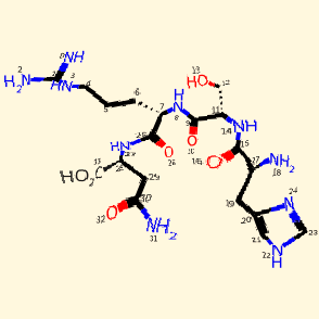 N=C(N)NCCC[C@H](NC(=O)[C@H](CO)NC(=O)[C@@H](N)Cc1c[nH]cn1)C(=O)N[C@@H](CC(N)=O)C(=O)O